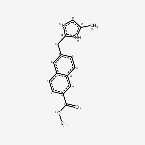 COC(=O)c1ccc2cc(Cc3ncc(C)[nH]3)ccc2c1